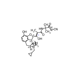 C/C(C(=O)NC(C)(C)C(=O)NC#N)=C(/O)[C@@H]1Oc2c(O)ccc3c2[C@@]12CCN(CC1CC1)[C@H](C3)[C@@]2(C)O